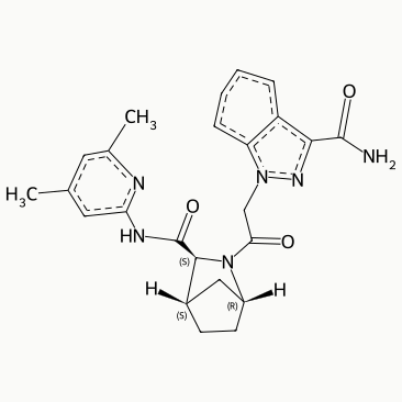 Cc1cc(C)nc(NC(=O)[C@@H]2[C@H]3CC[C@H](C3)N2C(=O)Cn2nc(C(N)=O)c3ccccc32)c1